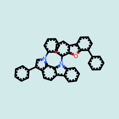 c1ccc(-c2cn(-c3ccccc3)c3c2ccc2c4ccccc4n(-c4cccc5c4oc4c(-c6ccccc6)cccc45)c23)cc1